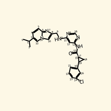 CC(C)c1ccc2nc(CNc3cc(NC(=O)[C@H]4CC4c4cccc(Cl)c4)ncn3)cn2c1